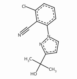 CC(C)(O)c1ccn(-c2cccc(Cl)c2C#N)n1